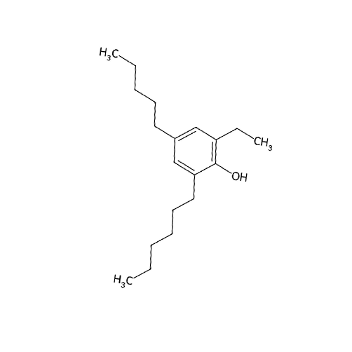 CCCCCCc1cc(CCCCC)cc(CC)c1O